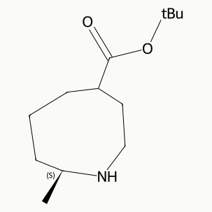 C[C@H]1CCCC(C(=O)OC(C)(C)C)CCN1